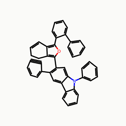 c1cccc(-c2cc3c4ccccc4n(-c4ccccc4)c3cc2-c2oc(-c3ccccc3-c3ccccc3)c3c2CCC=C3)c#1